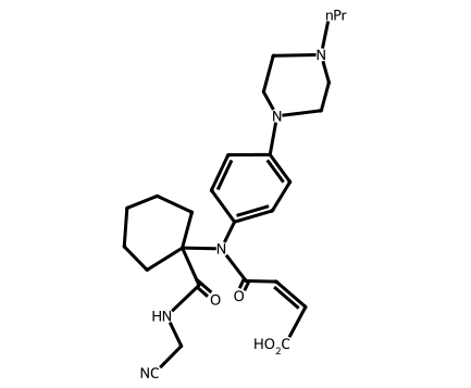 CCCN1CCN(c2ccc(N(C(=O)/C=C\C(=O)O)C3(C(=O)NCC#N)CCCCC3)cc2)CC1